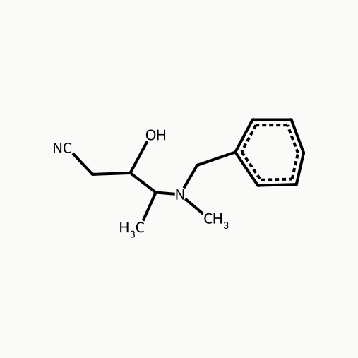 CC(C(O)CC#N)N(C)Cc1ccccc1